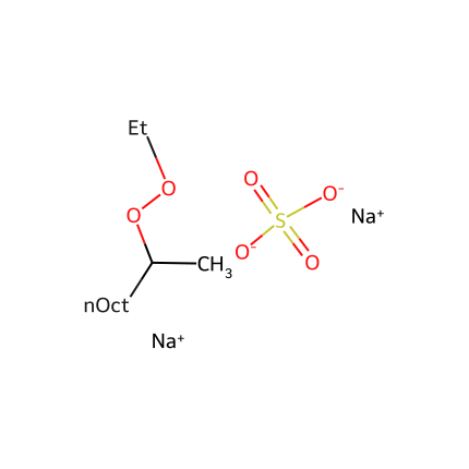 CCCCCCCCC(C)OOCC.O=S(=O)([O-])[O-].[Na+].[Na+]